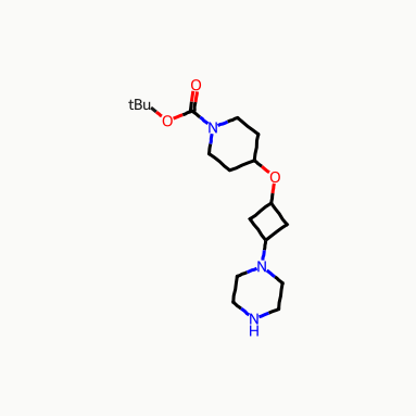 CC(C)(C)OC(=O)N1CCC(OC2CC(N3CCNCC3)C2)CC1